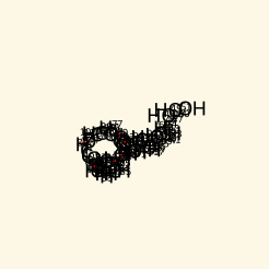 C=C1C[C@@H]2CC[C@@]34C[C@H]5O[C@H]6[C@@H](O3)[C@H]3O[C@H](CC[C@@H]3O[C@H]6[C@@H]5O4)CC(=O)O[C@@H]3[C@@H](C)[C@@H]4O[C@@H]5C[C@]6(C[C@@H]7OC8(C[C@H](C)[C@@H]9C[C@H](C(O)CC(O)CO)C[C@@H]9O8)C[C@H](C)[C@@H]7O6)O[C@@H]5C[C@@H]4O[C@@H]3C[C@@]3(C)O[C@H](CC[C@@H]1O2)C[C@@H](C)C3=C